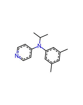 Cc1cc(C)cc(N(c2ccncc2)C(C)C)c1